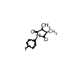 CC1C(=O)N(c2ccc(I)cc2)C(=O)C1C